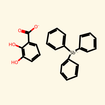 O=C([O-])c1cccc(O)c1O.c1cc[c]([Sb+]([c]2ccccc2)[c]2ccccc2)cc1